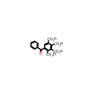 CCOC(=O)c1c(C(=O)c2ccccc2)cc(C(=O)O)c(C(=O)O)c1C(=O)O